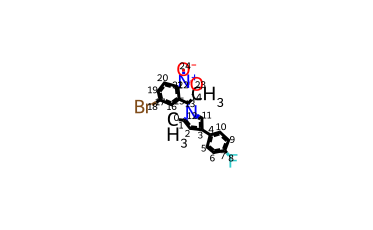 Cc1cc(-c2ccc(F)cc2)cn1C(C)c1cc(Br)ccc1[N+](=O)[O-]